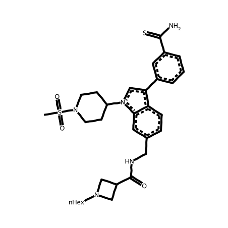 CCCCCCN1CC(C(=O)NCc2ccc3c(-c4cccc(C(N)=S)c4)cn(C4CCN(S(C)(=O)=O)CC4)c3c2)C1